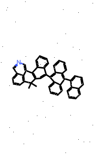 CC1(C)c2cc(-c3c4ccccc4c(-c4cccc5ccccc45)c4ccccc34)c3ccccc3c2-c2cncc3cccc1c23